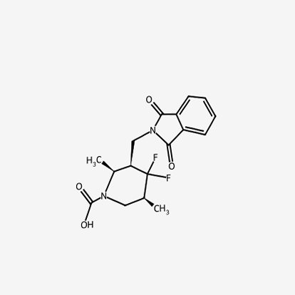 C[C@H]1[C@@H](CN2C(=O)c3ccccc3C2=O)C(F)(F)[C@@H](C)CN1C(=O)O